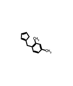 Cc1ccc(CC2=CC=CC2)c(C)c1